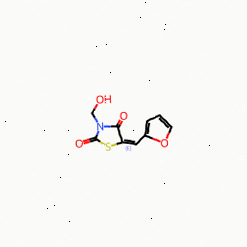 O=C1S/C(=C/c2ccco2)C(=O)N1CO